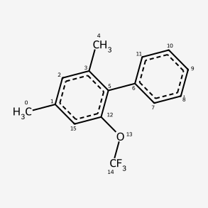 Cc1cc(C)c(-c2c[c]ccc2)c(OC(F)(F)F)c1